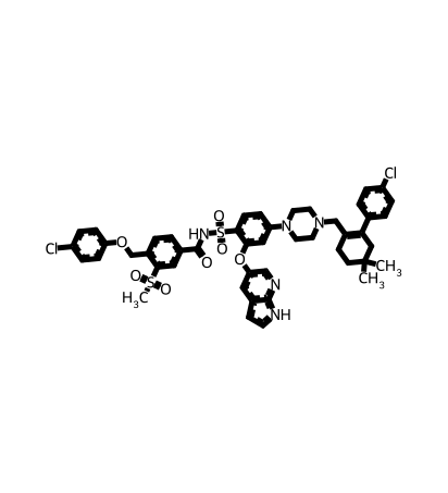 CC1(C)CCC(CN2CCN(c3ccc(S(=O)(=O)NC(=O)c4ccc(COc5ccc(Cl)cc5)c(S(C)(=O)=O)c4)c(Oc4cnc5[nH]ccc5c4)c3)CC2)=C(c2ccc(Cl)cc2)C1